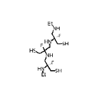 CCNC[C@@](F)(CS)NCC(F)(CS)NC[C@@](F)(CS)NCC